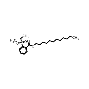 CCCCCCCCCCCCOC(=O)c1ccccc1P(=O)(CC)OC